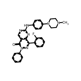 CN1CCN(c2ccc(Nc3ncc4c(=O)n(-c5ccccc5)nc(-c5ccccc5F)c4n3)cc2)CC1